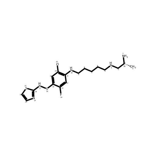 C[C@@H](N)CNCCCCCNc1cc(F)c(SNc2nccs2)cc1Cl